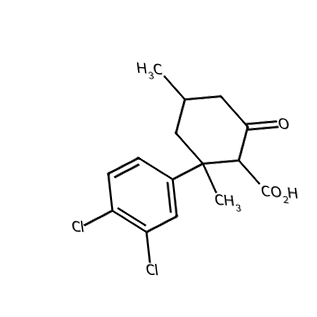 CC1CC(=O)C(C(=O)O)C(C)(c2ccc(Cl)c(Cl)c2)C1